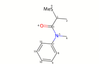 CSC(C)C(=O)N(C)c1ccccc1